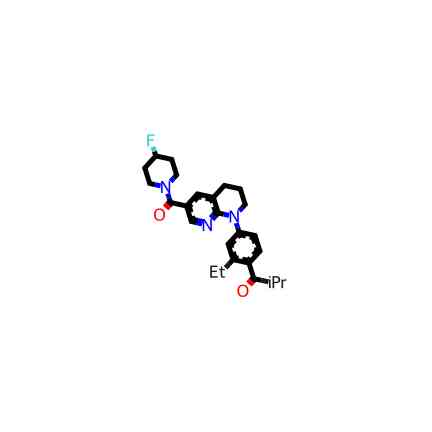 CCc1cc(N2CCCc3cc(C(=O)N4CCC(F)CC4)cnc32)ccc1C(=O)C(C)C